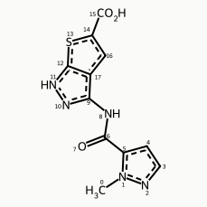 Cn1nccc1C(=O)Nc1n[nH]c2sc(C(=O)O)cc12